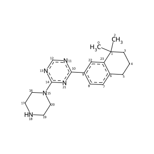 CC1(C)CCCc2ccc(-c3ncnc(N4CCNCC4)n3)cc21